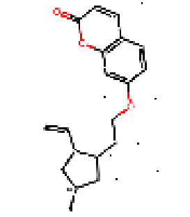 C=CC1C[C@H](C)CC1CCOc1ccc2ccc(=O)oc2c1